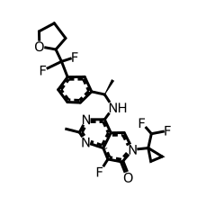 Cc1nc(N[C@H](C)c2cccc(C(F)(F)C3CCCO3)c2)c2cn(C3(C(F)F)CC3)c(=O)c(F)c2n1